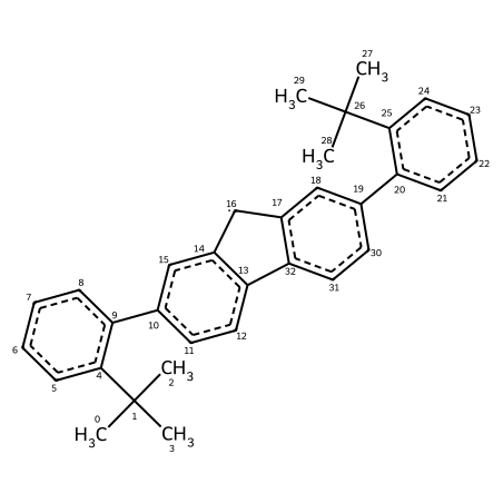 CC(C)(C)c1ccccc1-c1ccc2c(c1)[CH]c1cc(-c3ccccc3C(C)(C)C)ccc1-2